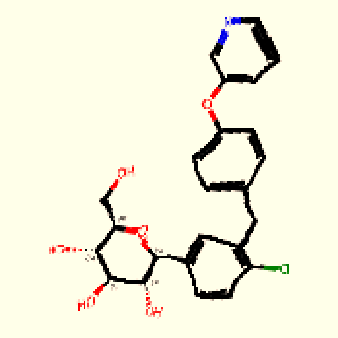 OC[C@H]1O[C@@H](c2ccc(Cl)c(Cc3ccc(Oc4cccnc4)cc3)c2)[C@H](O)[C@@H](O)[C@@H]1O